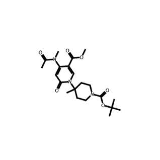 COC(=O)c1cn(C2(C)CCN(C(=O)OC(C)(C)C)CC2)c(=O)cc1N(C)C(C)=O